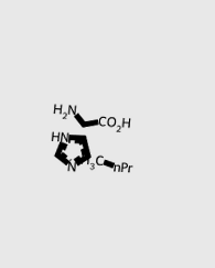 CCCC.NCC(=O)O.c1c[nH]cn1